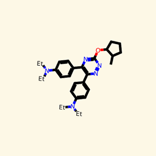 CCN(CC)c1ccc(-c2nnc(OC3CCCC3C)nc2-c2ccc(N(CC)CC)cc2)cc1